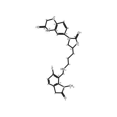 CN1C(=O)Cc2ccc(F)c(CNCCCC3CN(c4ccc5c(c4)NC(=O)CO5)C(=O)O3)c21